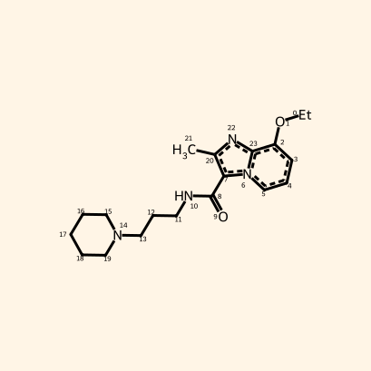 CCOc1cccn2c(C(=O)NCCCN3CCCCC3)c(C)nc12